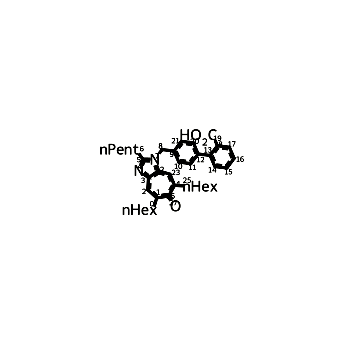 CCCCCCc1cc2nc(CCCCC)n(Cc3ccc(-c4ccccc4C(=O)O)cc3)c2cc(CCCCCC)c1=O